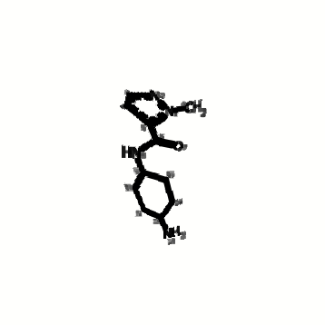 Cn1nccc1C(=O)NC1CCC(N)CC1